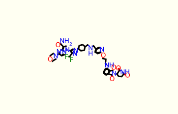 NC(=O)C1=C2N=C(N3CCOCC3)C=CN2N(c2cn(C3CCC(CNCc4ccc(OCCCNc5cccc6c5C(=O)N(C5CCC(=O)NC5=O)C6=O)nc4)CC3)nc2C(F)F)C1